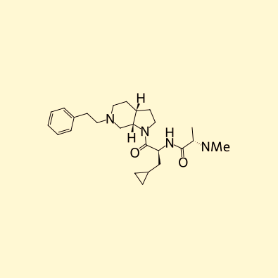 CN[C@@H](C)C(=O)N[C@@H](CC1CC1)C(=O)N1CC[C@H]2CCN(CCc3ccccc3)C[C@H]21